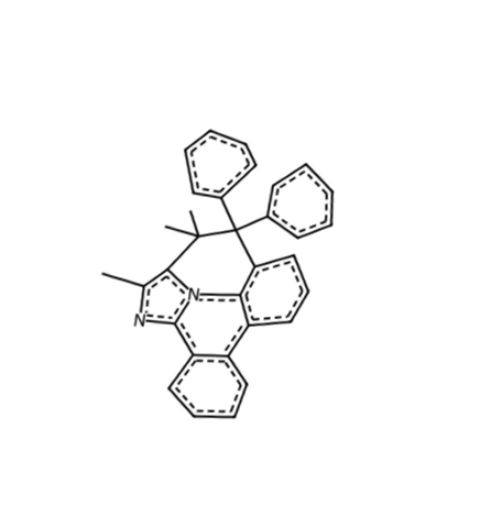 Cc1nc2c3ccccc3c3cccc4c3n2c1C(C)(C)C4(c1ccccc1)c1ccccc1